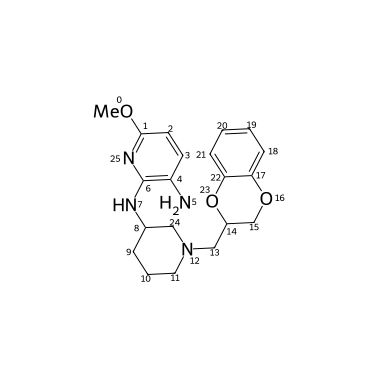 COc1ccc(N)c(NC2CCCN(CC3COc4ccccc4O3)C2)n1